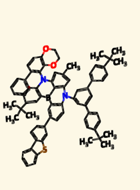 Cc1cc2c3c(c1)N(c1c(-c4ccccc4)ccc4c1OCCO4)c1ccc(C(C)(C)C)cc1B3c1cc(-c3ccc4c(c3)sc3ccccc34)ccc1N2c1cc(-c2ccc(C(C)(C)C)cc2)cc(-c2ccc(C(C)(C)C)cc2)c1